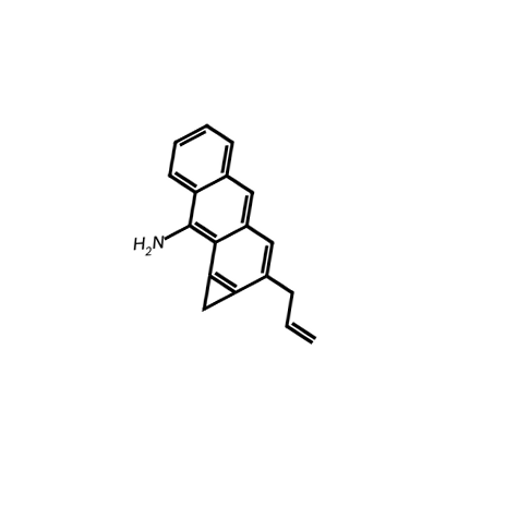 C=CCc1cc2cc3ccccc3c(N)c2c2c1C2